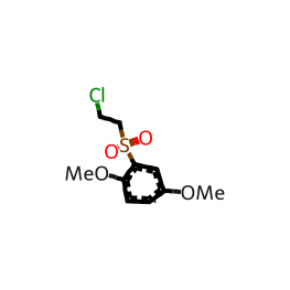 COc1[c]cc(OC)c(S(=O)(=O)CCCl)c1